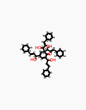 O=C1C(C(O)/C=C/c2ccccc2)=CC(C(O)/C=C/c2ccccc2)=CC1(C(O)/C=C/c1ccccc1)C(O)/C=C/c1ccccc1